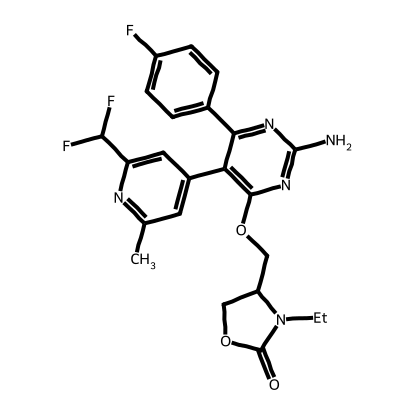 CCN1C(=O)OCC1COc1nc(N)nc(-c2ccc(F)cc2)c1-c1cc(C)nc(C(F)F)c1